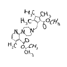 COC(=O)C1=C(C)C(C)C(C)=C1CN1CCN(c2nccc(C)c2C(=O)OC(C)C)CC1